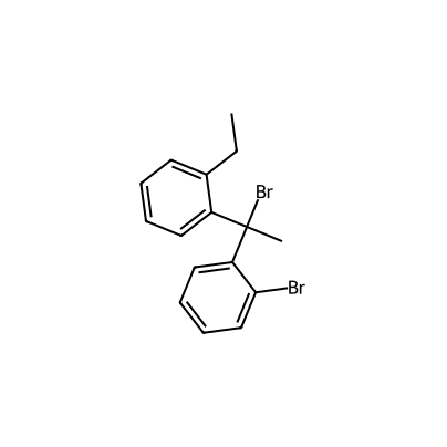 CCc1ccccc1C(C)(Br)c1ccccc1Br